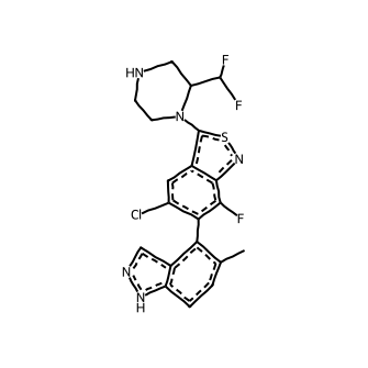 Cc1ccc2[nH]ncc2c1-c1c(Cl)cc2c(N3CCNCC3C(F)F)snc2c1F